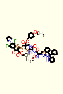 CCOC(=O)c1c(SCC2(C(=O)OCc3ccc(OC)cc3)CS[C@@H]3C(NC(=O)C(=NOC)c4csc(NC(c5ccccc5)(c5ccccc5)c5ccccc5)n4)C(=O)N3C2)sc2c(F)c(N3CCCC3)c(F)cc2c1=O